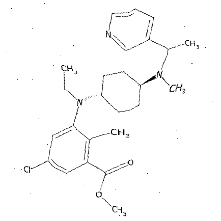 CCN(c1cc(Cl)cc(C(=O)OC)c1C)[C@H]1CC[C@H](N(C)C(C)c2cccnc2)CC1